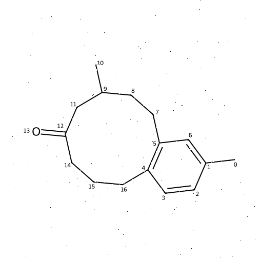 Cc1ccc2c(c1)CCC(C)CC(=O)CCC2